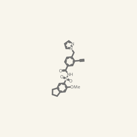 C#Cc1cc(C(=O)NS(=O)(=O)c2cc3c(cc2OC)CCC3)ccc1Cn1cccn1